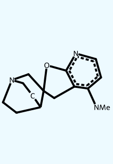 CNc1ccnc2c1CC1(CN3CCC1CC3)O2